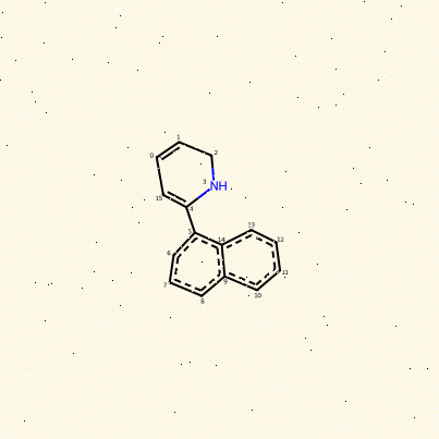 [C]1=CCNC(c2cccc3ccccc23)=C1